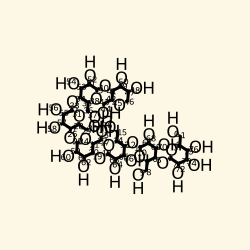 OCC1OC(OC2C(CO)OC(OC3C(CO)OC(OC4C(CO)OC(OC5C(CO)OC(OC6C(CO)OC(OC7C(CO)OCC(O)C7O)C(O)C6O)C(O)C5O)C(O)C4O)C(O)C3O)C(O)C2O)C(O)C(O)C1O